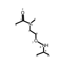 CC(=O)N(C)CCONC(C)C